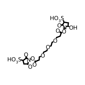 O=C(CCOCCOCCOCCC(=O)ON1C(=O)C(S(=O)(=O)O)CC1O)ON1C(=O)CC(S(=O)(=O)O)C1=O